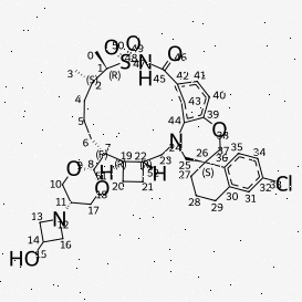 C[C@@H]1[C@@H](C)CCC[C@@H]([C@H]2OC[C@@H](N3CC(O)C3)CO2)[C@@H]2CC[C@H]2CN2C[C@@]3(CCCc4cc(Cl)ccc43)COc3ccc(cc32)C(=O)NS1(=O)=O